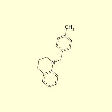 Cc1ccc(CN2CCCc3ccccc32)cc1